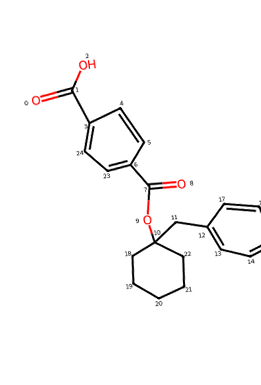 O=C(O)c1ccc(C(=O)OC2(Cc3ccccc3)CCCCC2)cc1